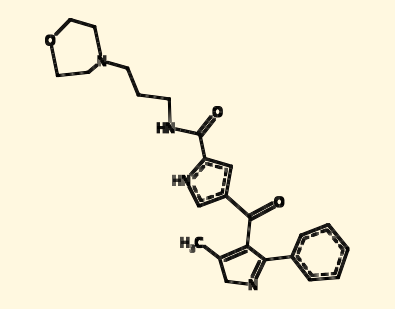 CC1=C(C(=O)c2c[nH]c(C(=O)NCCCN3CCOCC3)c2)C(c2ccccc2)=NC1